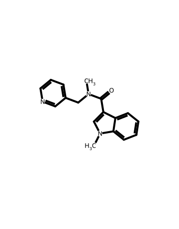 CN(Cc1cccnc1)C(=O)c1cn(C)c2ccccc12